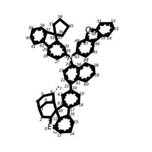 CCC1CC2CC[C@H](C)C(C2)C12c1ccccc1-c1ccc(-c3ccc(N(c4ccc5c(c4)C4(CCCC4)c4ccccc4-5)c4ccc5c(c4)oc4ccccc45)c4ccccc34)cc12